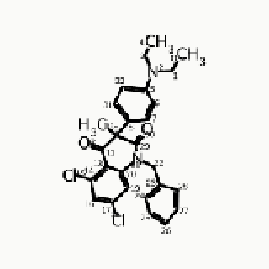 CCN(CC)c1ccc(C2(C)C(=O)c3c(Cl)cc(Cl)cc3N(Cc3ccccc3)C2=O)cc1